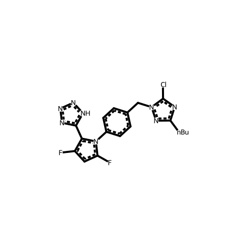 CCCCc1nc(Cl)n(Cc2ccc(-n3c(F)cc(F)c3-c3nnn[nH]3)cc2)n1